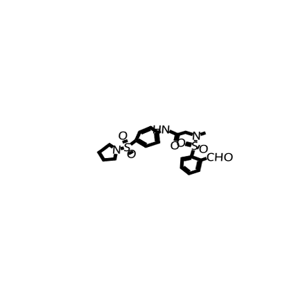 CN(CC(=O)Nc1ccc(S(=O)(=O)N2CCCC2)cc1)S(=O)(=O)c1ccccc1C=O